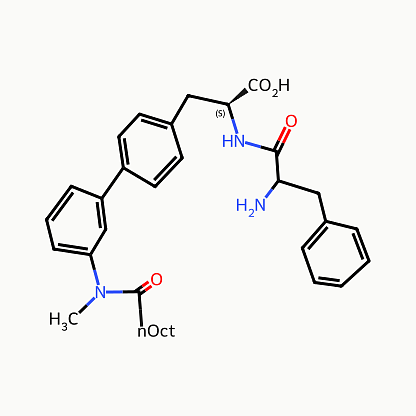 CCCCCCCCC(=O)N(C)c1cccc(-c2ccc(C[C@H](NC(=O)C(N)Cc3ccccc3)C(=O)O)cc2)c1